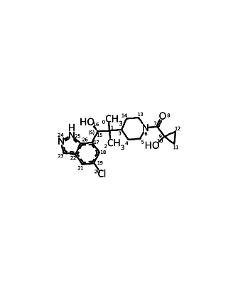 CC(C)(C1CCN(C(=O)C2(O)CC2)CC1)[C@H](O)c1cc(Cl)cc2cn[nH]c12